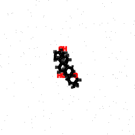 CC1(C)CCC2(CCC3C4=CCC5(C)C(O)CCC5C4CCC3(O)C2)OC1